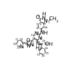 CCn1[nH]c(=O)c2ccc(Nc3ncc(-c4nnc(-c5ccccn5)o4)c(N[C@H](CO)c4ccccc4)n3)cc21